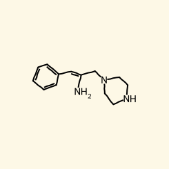 NC(=Cc1ccccc1)CN1CCNCC1